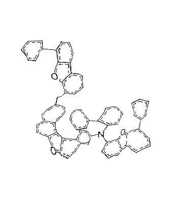 c1ccc(-c2ccccc2N(c2ccc3c(ccc4oc5ccc6cc(Cc7cccc8c7oc7c(-c9ccccc9)cccc78)ccc6c5c43)c2)c2cccc3c2oc2c(-c4ccccc4)cccc23)cc1